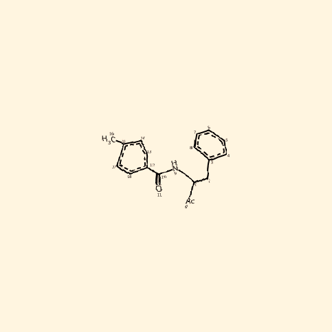 CC(=O)C(Cc1ccccc1)NC(=O)c1ccc(C)cc1